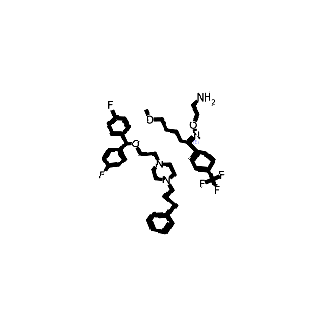 COCCCC/C(=N\OCCN)c1ccc(C(F)(F)F)cc1.Fc1ccc(C(OCCN2CCN(CCCc3ccccc3)CC2)c2ccc(F)cc2)cc1